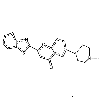 CN1CCN(c2ccc3oc(-c4nc5ccccc5s4)cc(=O)c3c2)CC1